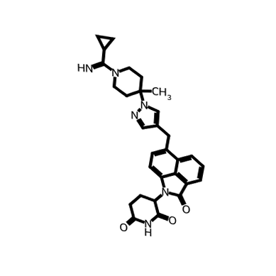 CC1(n2cc(Cc3ccc4c5c(cccc35)C(=O)N4C3CCC(=O)NC3=O)cn2)CCN(C(=N)C2CC2)CC1